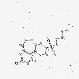 CCCOCCS(=O)(=O)N1CCN2c3ncc(Cl)cc3OCCC2C1